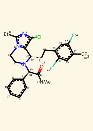 CCc1nc(Cl)c2n1CCN([C@@H](C(=O)NC)c1ccccc1)[C@H]2CCc1cc(F)c(C(F)(F)F)cc1F